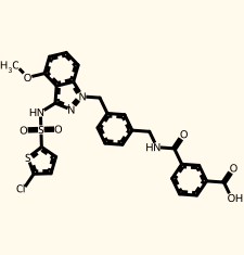 COc1cccc2c1c(NS(=O)(=O)c1ccc(Cl)s1)nn2Cc1cccc(CNC(=O)c2cccc(C(=O)O)c2)c1